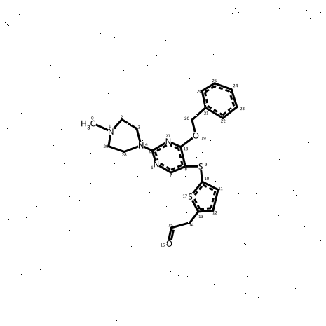 CN1CCN(c2ncc(Sc3ccc(CC=O)s3)c(OCc3ccccc3)n2)CC1